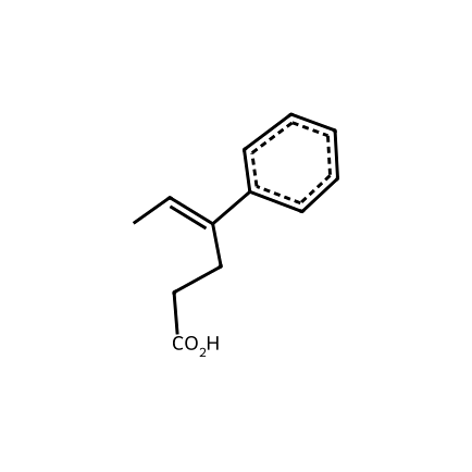 CC=C(CCC(=O)O)c1ccccc1